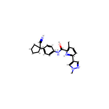 Cc1ccc(-c2cnn(C)c2)nc1C(=O)Nc1ccc(C2(C#N)CCCC2)cc1